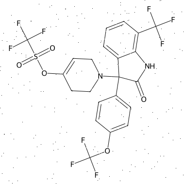 O=C1Nc2c(C(F)(F)F)cccc2C1(c1ccc(OC(F)(F)F)cc1)N1CC=C(OS(=O)(=O)C(F)(F)F)CC1